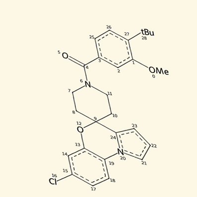 COc1cc(C(=O)N2CCC3(CC2)Oc2cc(Cl)ccc2-n2cccc23)ccc1C(C)(C)C